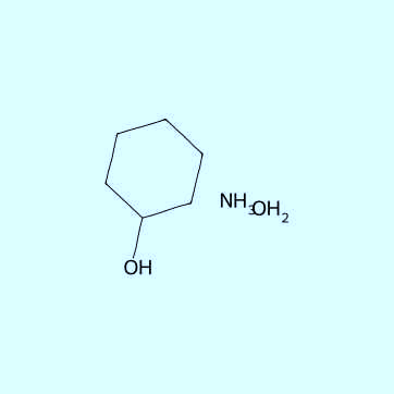 N.O.OC1CCCCC1